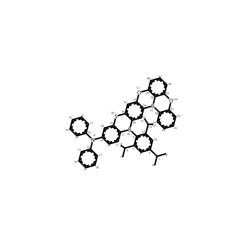 CC(C)c1cc(C(C)C)c(B2c3ccc(N(c4ccccc4)c4ccccc4)cc3Sc3cc4c(cc32)B2c3ccccc3Oc3cccc(c32)O4)c(C(C)C)c1